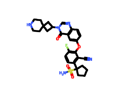 N#Cc1c(C2(S(N)(=O)=O)CCCC2)ccc(F)c1Oc1ccc2ncn(C3CC4(CCNCC4)C3)c(=O)c2c1